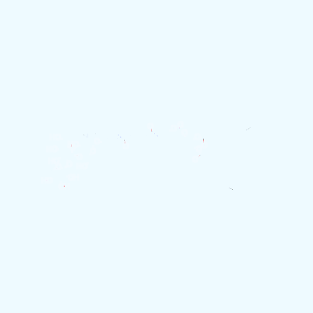 CCCCCCCC/C=C\CCCCCCCC(=O)OC[C@@H](COP(C)(=O)OCCNC(=O)CCCCC(=O)NCCCO[C@@H]1O[C@@H](CO)[C@@H](O[C@@H]2OC(CO)[C@H](O)[C@H](O)C2O[C@@H]2OC(C)[C@@H](O)[C@H](O)C2O)C(O)C1NC(C)=O)OC(=O)CCCCCCC/C=C/CCCCCCCC